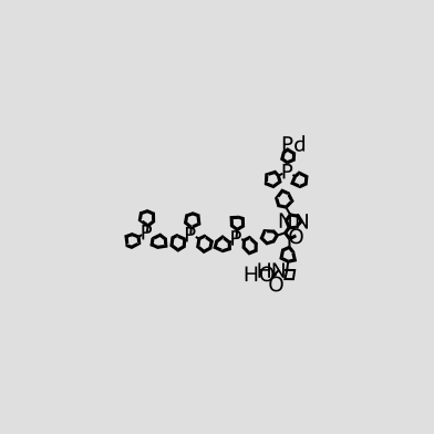 O=C(O)NC1(c2ccc(-c3oc4ncc(-c5ccccc5)nc4c3-c3ccccc3)cc2)CCC1.[Pd].c1ccc(P(c2ccccc2)c2ccccc2)cc1.c1ccc(P(c2ccccc2)c2ccccc2)cc1.c1ccc(P(c2ccccc2)c2ccccc2)cc1.c1ccc(P(c2ccccc2)c2ccccc2)cc1